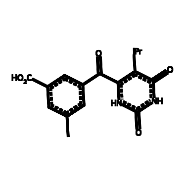 Cc1cc(C(=O)O)cc(C(=O)c2[nH]c(=O)[nH]c(=O)c2C(C)C)c1